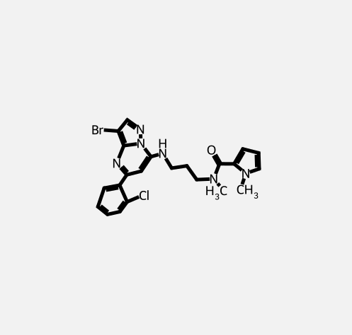 CN(CCCNc1cc(-c2ccccc2Cl)nc2c(Br)cnn12)C(=O)c1cccn1C